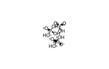 O=P(O)(O)O.[O]=[Mo](=[O])([OH])[OH].[O]=[V](=[O])[OH]